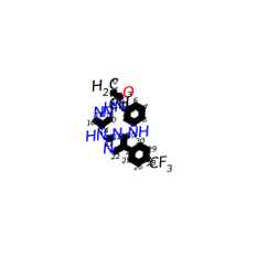 C=CC(=O)Nc1cccc(Nc2nc(Nc3cnn(C)c3)ncc2-c2ccc(C(F)(F)F)cc2)c1